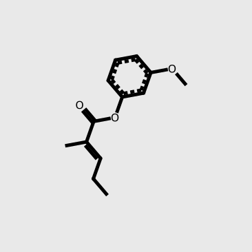 CCC=C(C)C(=O)Oc1cccc(OC)c1